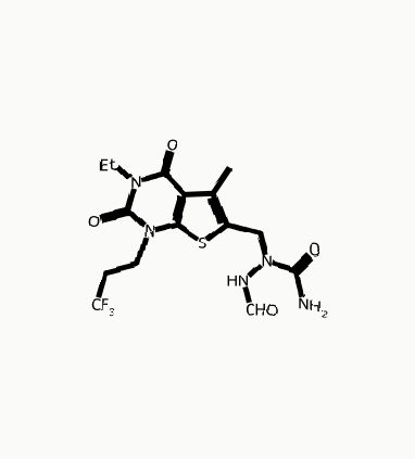 CCn1c(=O)c2c(C)c(CN(NC=O)C(N)=O)sc2n(CCC(F)(F)F)c1=O